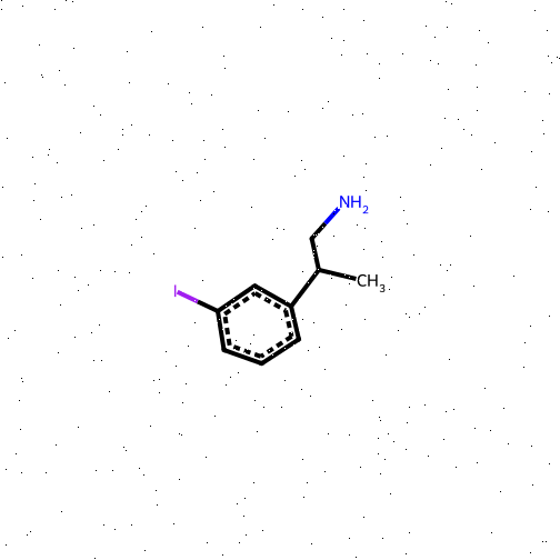 CC(CN)c1cccc(I)c1